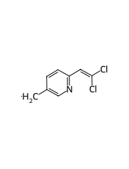 [CH2]c1ccc(C=C(Cl)Cl)nc1